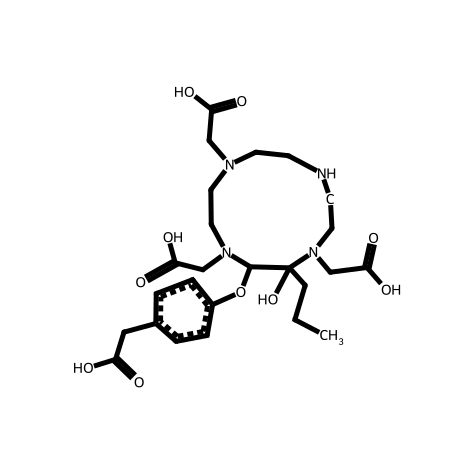 CCCC1(O)C(Oc2ccc(CC(=O)O)cc2)N(CC(=O)O)CCN(CC(=O)O)CCNCCN1CC(=O)O